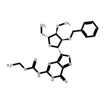 CCOC(=O)Nc1nc2c([C@@H]3O[C@H](CC)[C@@H](OC)[C@H]3OCc3ccccc3)snc2c(=O)[nH]1